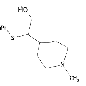 CC(C)SC(CO)C1CCN(C)CC1